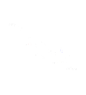 CCCC=CCOc1ccc(-c2ncc(CCCCCCCC)s2)cc1